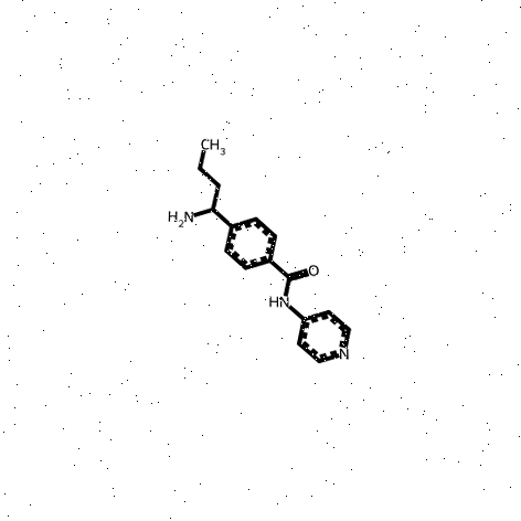 CCCC(N)c1ccc(C(=O)Nc2ccncc2)cc1